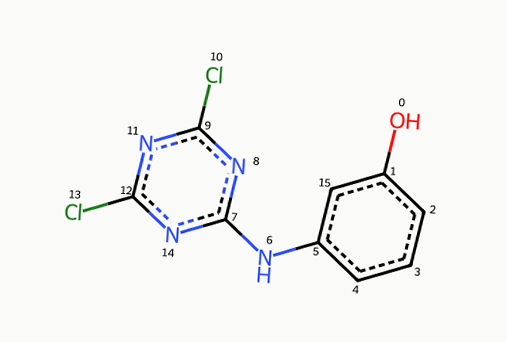 Oc1cccc(Nc2nc(Cl)nc(Cl)n2)c1